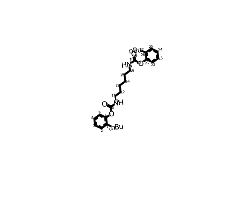 CCCCc1ccccc1OC(=O)NCCCCCCNC(=O)Oc1ccccc1CCCC